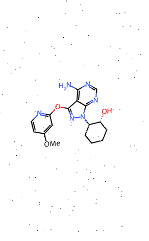 COc1ccnc(Oc2nn([C@@H]3CCCC[C@H]3O)c3ncnc(N)c23)c1